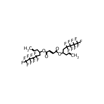 C=CCC(CC(F)(F)C(F)(F)C(F)(F)C(F)(F)F)OC(=O)/C=C/C(=O)OC(CC=C)CC(F)(F)C(F)(F)C(F)(F)C(F)(F)F